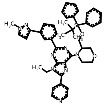 CCn1c(-c2ccncc2)nc2c(N3CCOCC3CO[Si](c3ccccc3)(c3ccccc3)C(C)(C)C)nc(-c3cccc(-c4ccn(C)n4)c3)nc21